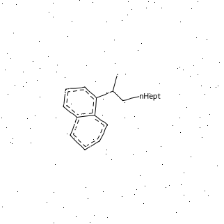 CCCCCCCCC(C)c1cccc2ccccc12